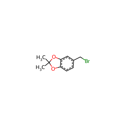 CC1(C)Oc2ccc(CBr)cc2O1